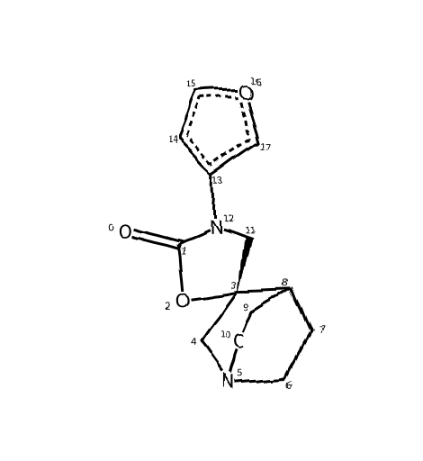 O=C1O[C@]2(CN3CCC2CC3)CN1c1ccoc1